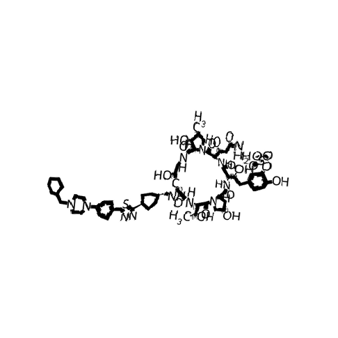 C[C@@H](O)[C@@H]1NC(=O)[C@@H](NC[C@H]2CC[C@H](c3nnc(-c4ccc(N5CCN(CC6CCCCC6)CC5)cc4)s3)CC2)C[C@@H](O)CNC(=O)[C@@H]2[C@@H](O)[C@@H](C)CN2C(=O)[C@H]([C@H](O)CC(N)=O)NC(=O)[C@H]([C@H](O)Cc2ccc(O)c(OS(=O)(=O)O)c2)NC(=O)[C@@H]2C[C@@H](O)CN2C1=O